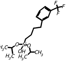 CC(C)O[Si](O)(CCCCc1cccc(C(F)(F)F)c1)OC(C)C